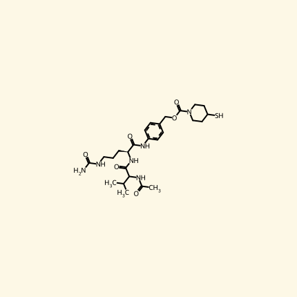 CC(=O)NC(C(=O)N[C@@H](CCCNC(N)=O)C(=O)Nc1ccc(COC(=O)N2CCC(S)CC2)cc1)C(C)C